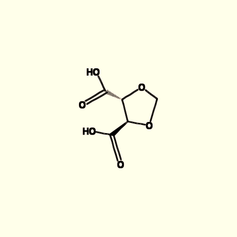 O=C(O)[C@@H]1OCO[C@H]1C(=O)O